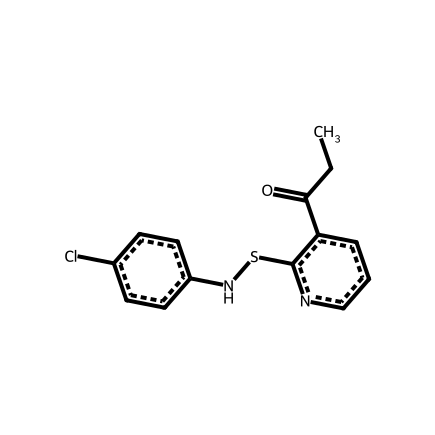 CCC(=O)c1cccnc1SNc1ccc(Cl)cc1